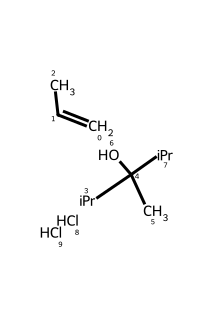 C=CC.CC(C)C(C)(O)C(C)C.Cl.Cl